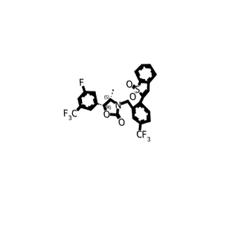 C[C@H]1[C@@H](c2cc(F)cc(C(F)(F)F)c2)OC(=O)N1Cc1cc(C(F)(F)F)ccc1C1=Cc2ccccc2S1(=O)=O